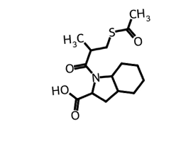 CC(=O)SCC(C)C(=O)N1C(C(=O)O)CC2CCCCC21